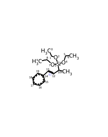 CCO[Si](OCC)(OCC)C(C)/C=C/c1ccccc1